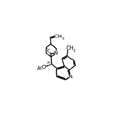 C=CC1CN2CCC1CC2[C@H](OC(C)=O)c1ccnc2ccc(C)cc12